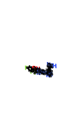 OC(c1ccc(F)cc1)(c1cnc(N2CCN(c3ncnn4cc(-c5cn[nH]c5)cc34)CC2)nc1)C(F)F